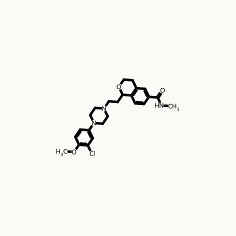 CNC(=O)c1ccc2c(c1)CCOC2CCN1CCN(c2ccc(OC)c(Cl)c2)CC1